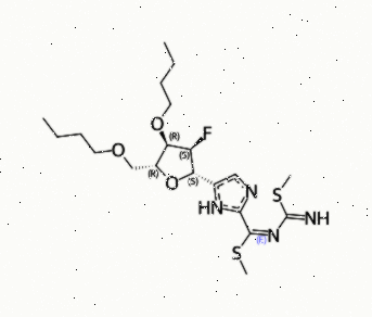 CCCCOC[C@H]1O[C@@H](c2cnc(/C(=N\C(=N)SC)SC)[nH]2)[C@H](F)[C@@H]1OCCCC